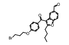 CCCCc1oc2ccc(C=O)cc2c1C(=O)c1ccc(OCCCBr)cc1